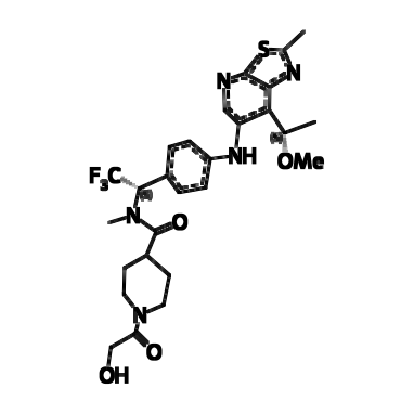 CO[C@@H](C)c1c(Nc2ccc([C@H](N(C)C(=O)C3CCN(C(=O)CO)CC3)C(F)(F)F)cc2)cnc2sc(C)nc12